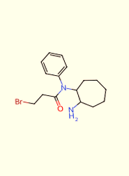 NC1CCCCCC1N(C(=O)CCBr)c1ccccc1